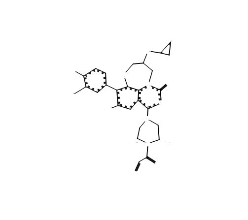 C=CC(=O)N1[C@H](C)CN(c2nc(=O)n3c4c(c(-c5ccc(F)c(Cl)c5)c(C)cc24)SCC(OC2CC2)C3)C[C@@H]1C